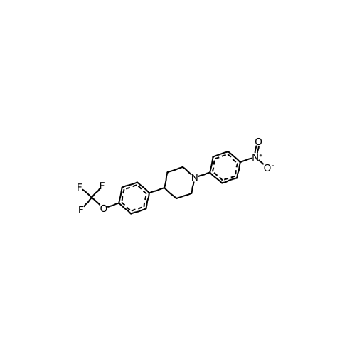 O=[N+]([O-])c1ccc(N2CCC(c3ccc(OC(F)(F)F)cc3)CC2)cc1